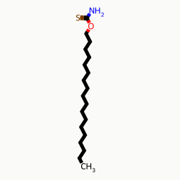 CCCCCCCCCCCCCCCCCCOC(N)=S